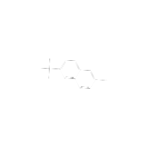 CC(C)(C)c1ccc2cc(F)ccc2c1